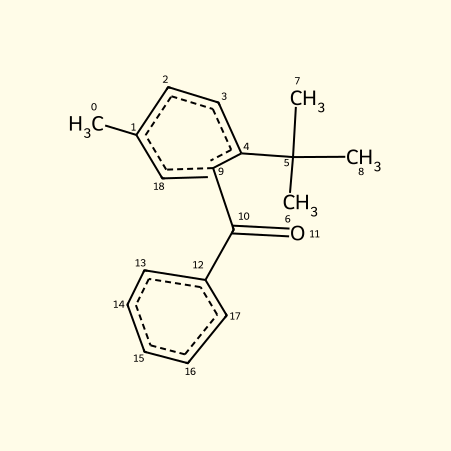 Cc1ccc(C(C)(C)C)c(C(=O)c2ccccc2)c1